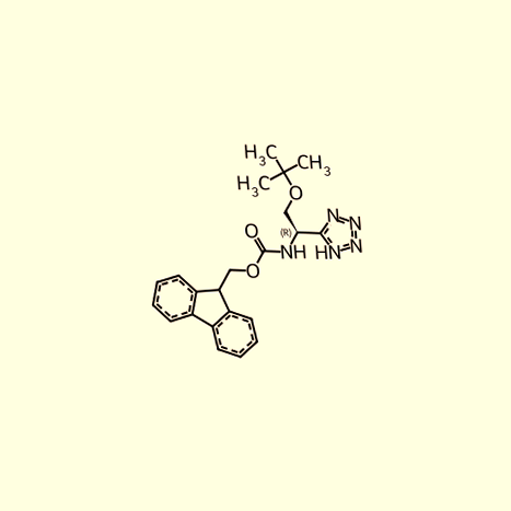 CC(C)(C)OC[C@H](NC(=O)OCC1c2ccccc2-c2ccccc21)c1nnn[nH]1